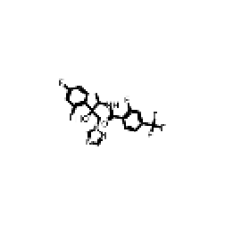 CC(NC(=O)c1ccc(C(F)(F)F)cc1F)C(O)(Cn1cncn1)c1ccc(F)cc1F